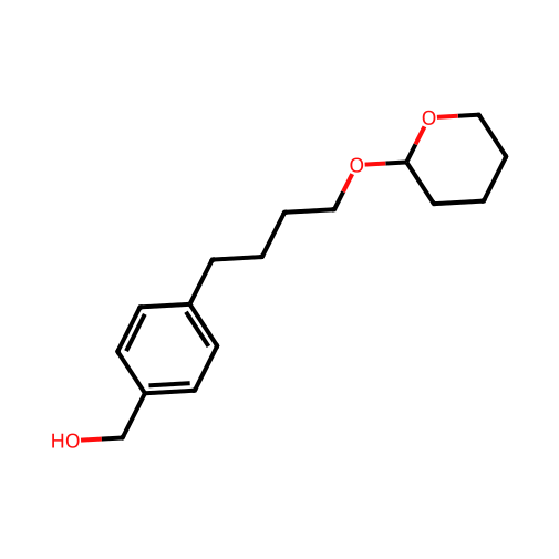 OCc1ccc(CCCCOC2CCCCO2)cc1